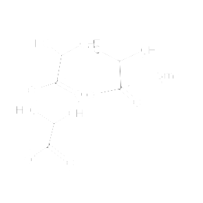 CC(C)C(=O)[O-].CC(C)C(=O)[O-].CC(C)C(=O)[O-].[Sm+3]